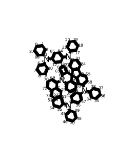 c1ccc(N(c2ccccc2)c2ccc(N(c3ccccc3)c3ccc4c(c3)C3(c5cc(N(c6ccccc6)c6ccc(N(c7ccccc7)c7ccccc7)cc6)ccc5-4)c4ccccc4N(c4cccc5ccccc45)c4ccccc43)cc2)cc1